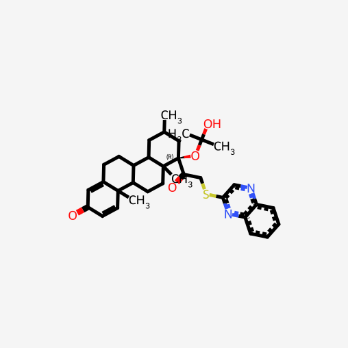 CC1CC2C3CCC4=CC(=O)C=CC4(C)C3CCC2(C)[C@@](OC(C)(C)O)(C(=O)CSc2cnc3ccccc3n2)C1